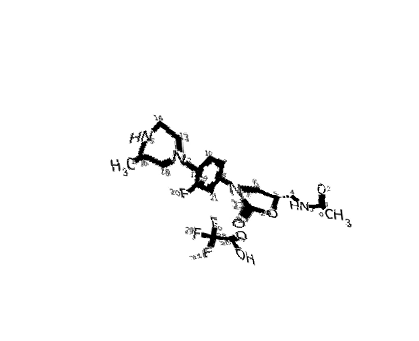 CC(=O)NC[C@H]1CN(c2ccc(N3CCNC(C)C3)c(F)c2)C(=O)O1.O=C(O)C(F)(F)F